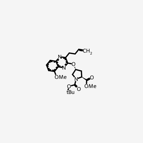 C=CCCc1nc2cccc(OC)c2nc1O[C@@H]1C[C@@H](C(=O)OC)N(C(=O)OC(C)(C)C)C1